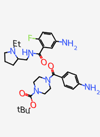 CC(C)(C)OC(=O)N1CCN(C(=O)c2ccc(N)cc2)CC1.CCN1CCCC1CNC(=O)c1cc(N)ccc1F